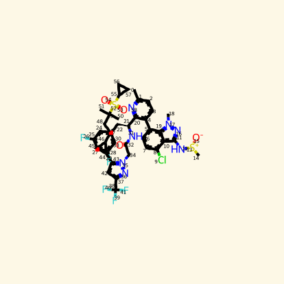 Cc1ccc(-c2ccc(Cl)c3c(N[S+](C)[O-])nn(C)c23)c([C@H](Cc2cc(F)cc(F)c2)NC(=O)Cn2nc(C(F)(F)F)cc2C2CC2CCC(C)(C)S(=O)(=O)C2CC2)n1